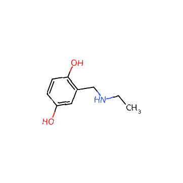 CCNCc1cc(O)ccc1O